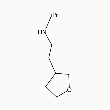 CC(C)NCCC1CCOC1